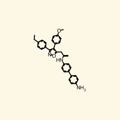 C=C(Cc1onc(-c2ccc(CC)cc2)c1-c1ccc(OC)cc1)Nc1ccc(-c2ccc(N)cc2)cc1